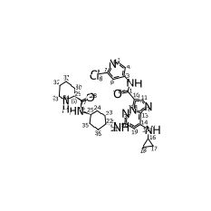 O=C(Nc1ccnc(Cl)c1)c1cnc2c(NC3CC3)cc(N[C@H]3CC[C@H](NC(=O)[C@@H]4CCCCN4)CC3)nn12